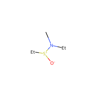 CCN(C)[S+]([O-])CC